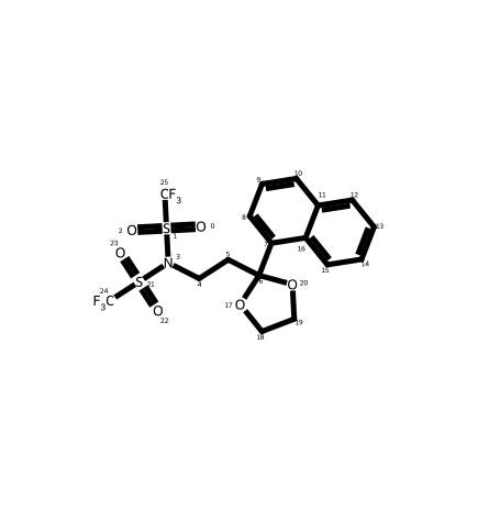 O=S(=O)(N(CCC1(c2cccc3ccccc23)OCCO1)S(=O)(=O)C(F)(F)F)C(F)(F)F